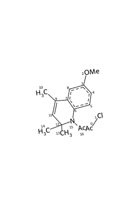 CC(=O)Cl.COc1ccc2c(c1)C(C)=CC(C)(C)N2C(C)=O